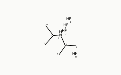 CC(C)NC(C)C.F.F.F.F